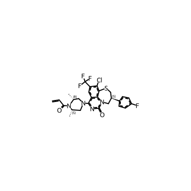 C=CC(=O)N1[C@H](C)CN(c2nc(=O)n3c4c(c(Cl)c(C(F)(F)F)cc24)SC[C@@H](c2ccc(F)cc2)C3)C[C@@H]1C